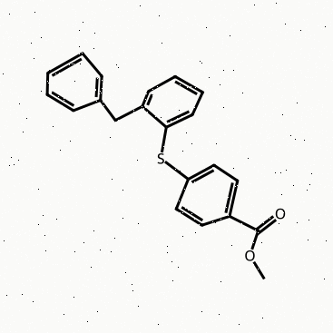 COC(=O)c1ccc(Sc2ccccc2Cc2ccccc2)cc1